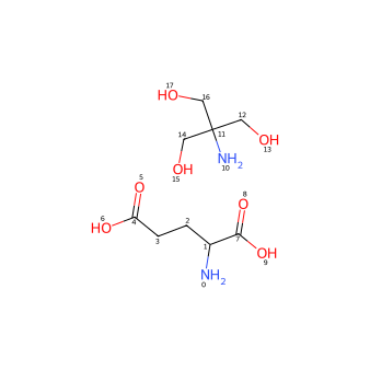 NC(CCC(=O)O)C(=O)O.NC(CO)(CO)CO